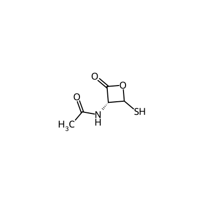 CC(=O)N[C@@H]1C(=O)OC1S